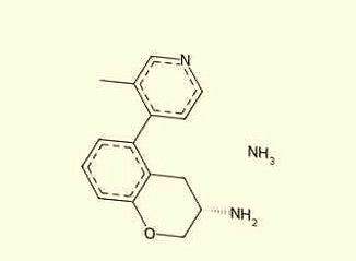 Cc1cnccc1-c1cccc2c1C[C@H](N)CO2.N